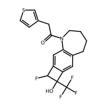 O=C(Cc1ccsc1)N1CCCCc2cc3c(cc21)C(F)C3(O)C(F)(F)F